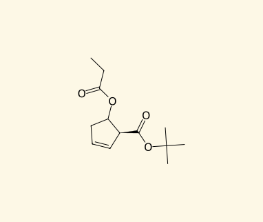 CCC(=O)OC1CC=C[C@@H]1C(=O)OC(C)(C)C